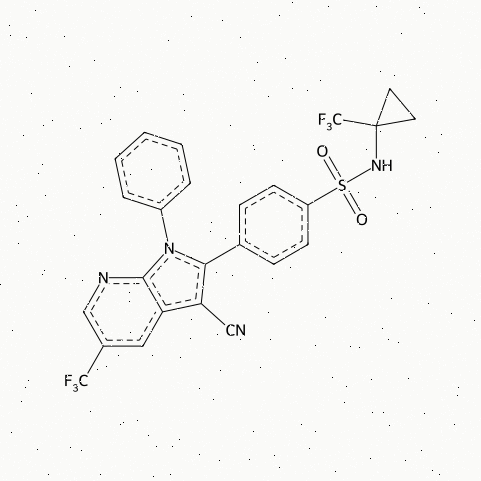 N#Cc1c(-c2ccc(S(=O)(=O)NC3(C(F)(F)F)CC3)cc2)n(-c2ccccc2)c2ncc(C(F)(F)F)cc12